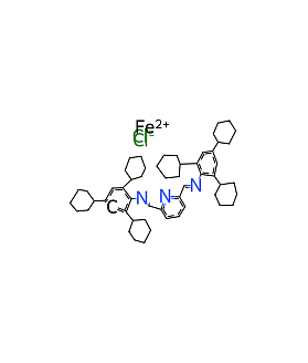 C(=Nc1c(C2CCCCC2)cc(C2CCCCC2)cc1C1CCCCC1)c1cccc(C=Nc2c(C3CCCCC3)cc(C3CCCCC3)cc2C2CCCCC2)n1.[Cl-].[Cl-].[Fe+2]